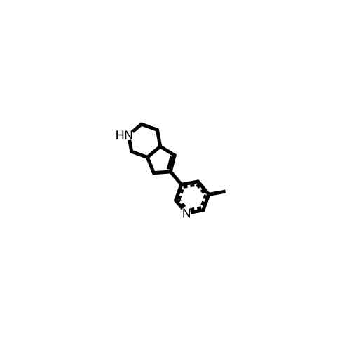 Cc1cncc(C2=CC3CCNCC3C2)c1